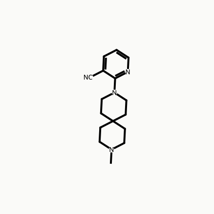 CN1CCC2(CC1)CCN(c1ncccc1C#N)CC2